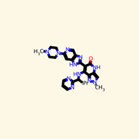 CC(C)C(Nc1c(-c2nc3cnc(N4CCN(C)CC4)cc3[nH]2)c(=O)[nH]c2cn(C)nc12)c1ncccn1